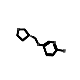 Clc1ccc(OC[C@@H]2CCOC2)cn1